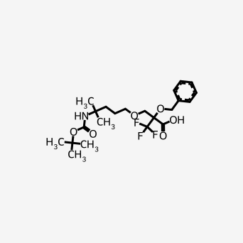 CC(C)(CCCOCC(OCc1ccccc1)(C(=O)O)C(F)(F)F)NC(=O)OC(C)(C)C